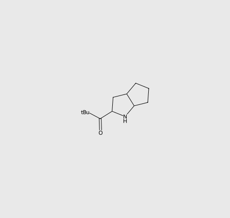 CC(C)(C)C(=O)C1CC2CCCC2N1